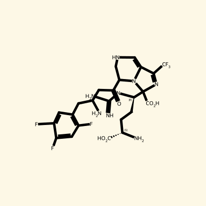 N=C(N)N[C@H](CC[C@H](N)C(=O)O)C1(C(=O)O)N=C(C(F)(F)F)C2=CNCC(C(=O)CC(N)Cc3cc(F)c(F)cc3F)N21